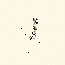 [2H]C1(CCOc2ccn(-c3ccc(C(=O)OC(C)(C)C)c(Cl)n3)n2)C2(CC2)C12CC2